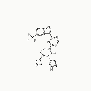 C[C@H]1[C@H](c2cn[nH]c2)N(C2COC2)CCN1c1ccnc(-c2cnc3ccc(C(F)(F)F)cn23)n1